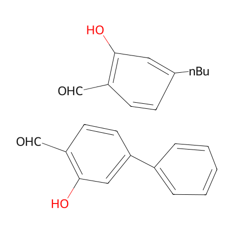 CCCCc1ccc(C=O)c(O)c1.O=Cc1ccc(-c2ccccc2)cc1O